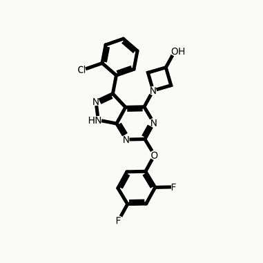 OC1CN(c2nc(Oc3ccc(F)cc3F)nc3[nH]nc(-c4ccccc4Cl)c23)C1